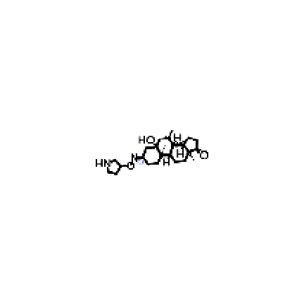 C[C@@H]1C[C@@]2(O)C/C(=N/OC3CCNC3)CC[C@]2(C)[C@H]2CC[C@]3(C)C(=O)CC[C@H]3[C@H]12